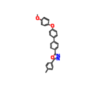 COc1ccc(Oc2ccc(-c3ccc(-c4nnc(-c5ccc(C)cc5)o4)cc3)cc2)cc1